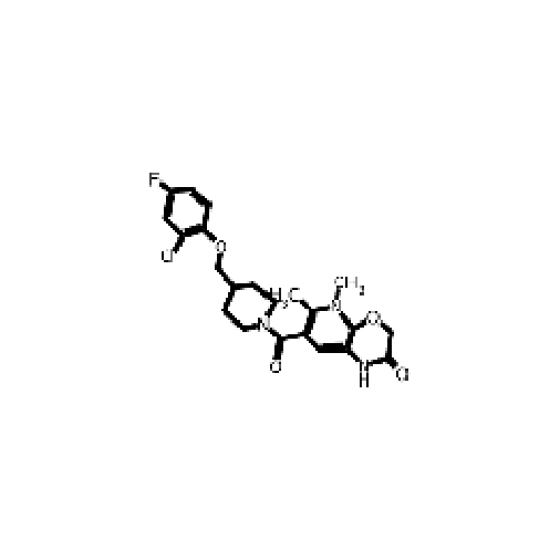 CC1=C(C(=O)N2CCC(COc3ccc(F)cc3Cl)CC2)C=C2NC(=O)COC2N1C